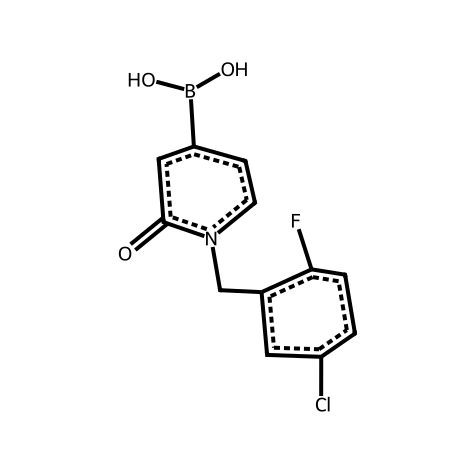 O=c1cc(B(O)O)ccn1Cc1cc(Cl)ccc1F